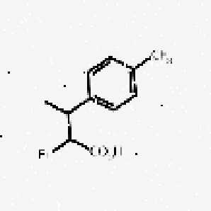 CCC(C(=O)O)C(C)c1[c]cc(C(F)(F)F)cc1